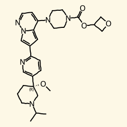 CO[C@@]1(c2ccc(-c3cc4c(N5CCN(C(=O)OC6COC6)CC5)ccnn4c3)nc2)CCCN(C(C)C)C1